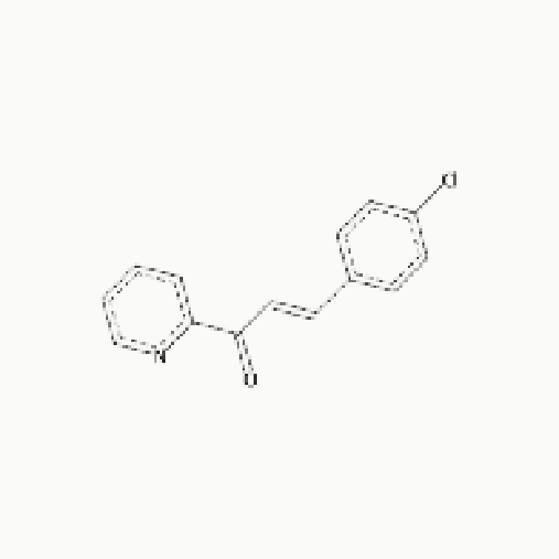 O=C(C=Cc1ccc(Cl)cc1)c1ccccn1